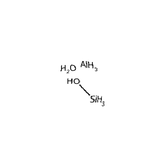 O.O[SiH3].[AlH3]